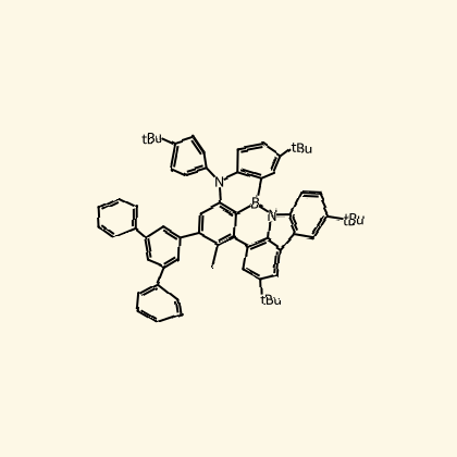 Cc1c(-c2cc(-c3ccccc3)cc(-c3ccccc3)c2)cc2c3c1-c1cc(C(C)(C)C)cc4c5cc(C(C)(C)C)ccc5n(c14)B3c1cc(C(C)(C)C)ccc1N2c1ccc(C(C)(C)C)cc1